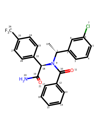 C[C@H](c1cccc(Cl)c1)N(C(=O)c1ccccc1)[C@@H](C(N)=O)c1ccc(C(F)(F)F)cc1